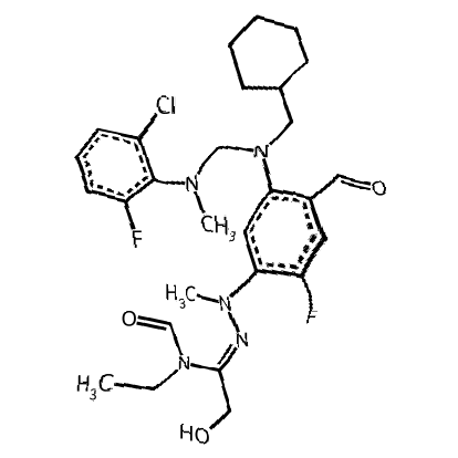 CCN(C=O)/C(CO)=N\N(C)c1cc(N(CC2CCCCC2)CN(C)c2c(F)cccc2Cl)c(C=O)cc1F